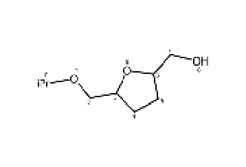 CC(C)OCC1CCC(CO)O1